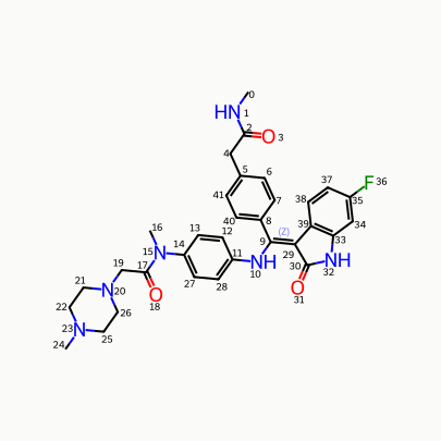 CNC(=O)Cc1ccc(/C(Nc2ccc(N(C)C(=O)CN3CCN(C)CC3)cc2)=C2/C(=O)Nc3cc(F)ccc32)cc1